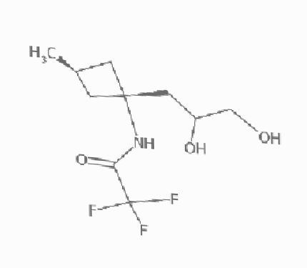 C[C@H]1C[C@](CC(O)CO)(NC(=O)C(F)(F)F)C1